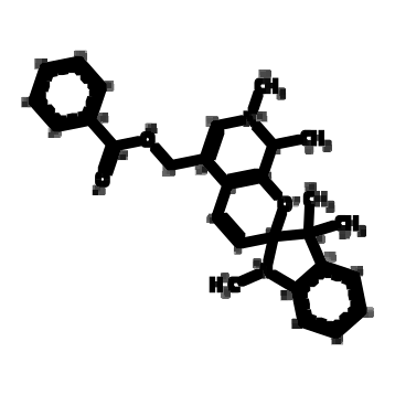 CC1C2=C(C=CC3(O2)N(C)c2ccccc2C3(C)C)C(COC(=O)c2ccccc2)=CN1C